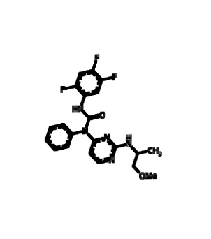 COCC(C)Nc1nccc(N(C(=O)Nc2cc(F)c(F)cc2F)c2ccccc2)n1